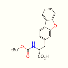 CC(C)(C)OC(=O)N[C@@H](Cc1ccc2c(c1)oc1ccccc12)C(=O)O